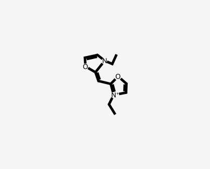 CCN1C=CO/C1=C/c1occ[n+]1CC